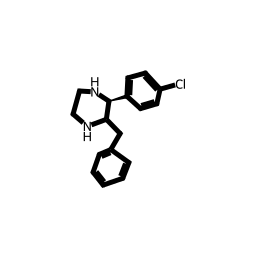 Clc1ccc([C@@H]2NCCNC2Cc2ccccc2)cc1